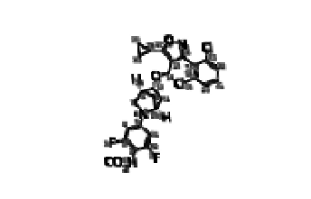 O=C(O)c1c(F)cc(N2C[C@@H]3C[C@H]2C[C@H]3OCc2c(-c3c(Cl)cccc3Cl)noc2C2CC2)cc1F